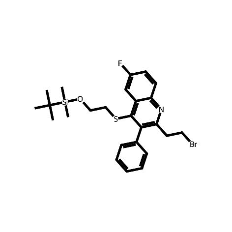 CC(C)(C)[Si](C)(C)OCCSc1c(-c2ccccc2)c(CCBr)nc2ccc(F)cc12